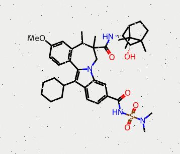 COc1ccc2c(c1)C(C)C(C)(C(=O)N[C@@H]1C3CCC(C)([C@@H]1O)C3(C)C)Cn1c-2c(C2CCCCC2)c2ccc(C(=O)NS(=O)(=O)N(C)C)cc21